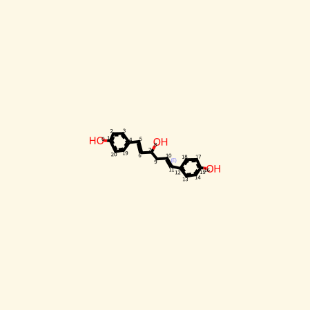 Oc1ccc(C=CC(O)C/C=C/c2ccc(O)cc2)cc1